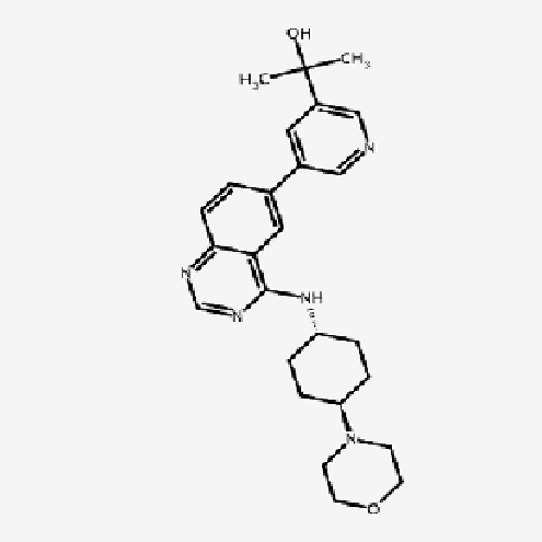 CC(C)(O)c1cncc(-c2ccc3ncnc(N[C@H]4CC[C@H](N5CCOCC5)CC4)c3c2)c1